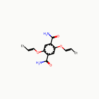 CCC=COc1cc(C(N)=O)c(OC=CCC)cc1C(N)=O